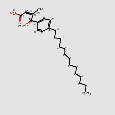 CCCCCCCCCCCCCCc1ccc(C(=O)/C(C)=C\C(=O)O)cc1